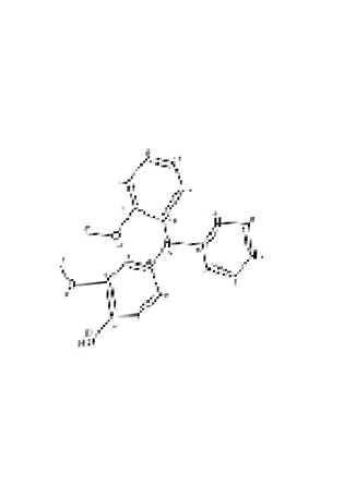 COc1cc(N(c2ccncn2)c2ccccc2OC)ccc1O